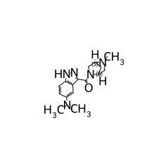 CN(C)c1ccc2[nH]nc(C(=O)N3C[C@@H]4C[C@H]3CN4C)c2c1